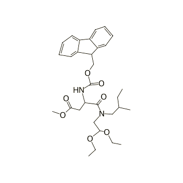 CCOC(CN(CC(C)CC)C(=O)C(CC(=O)OC)NC(=O)OCC1c2ccccc2-c2ccccc21)OCC